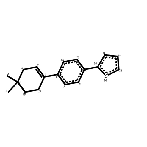 CC1(C)CC=C(c2ccc(-c3cccs3)cc2)CC1